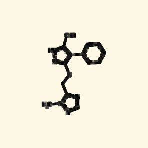 Cn1ncnc1COc1n[nH]c(C=O)c1-c1ccccc1